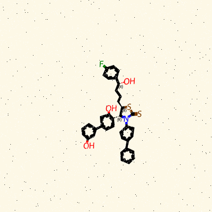 Oc1cccc(-c2ccc([C@@H]3[C@@H](CCC[C@@H](O)c4ccc(F)cc4)SC(=S)N3c3ccc(-c4ccccc4)cc3)c(O)c2)c1